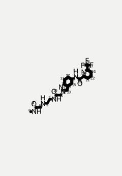 CNC(=O)CNCCNC(=O)Cn1cc2cc(NC(=O)c3cccc(C(F)(F)F)n3)ccc2n1